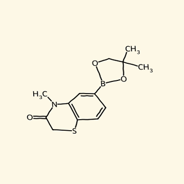 CN1C(=O)CSc2ccc(B3OCC(C)(C)O3)cc21